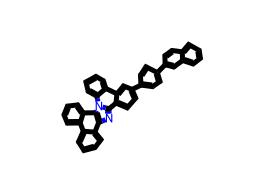 c1ccc2cc(-c3ccc(-c4ccc5c(c4)c4ccccc4n4c5nc5c6ccccc6c6ccccc6c54)cc3)ccc2c1